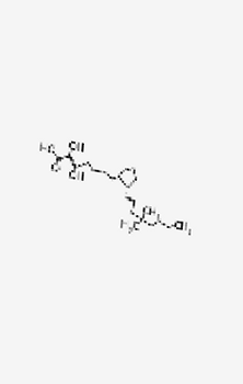 CCCCC(C)(C)C/C=C/[C@H]1CCC[C@@H]1CCCC/C(O)=C(\O)C(=O)O